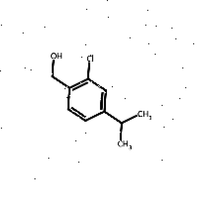 CC(C)c1ccc(CO)c(Cl)c1